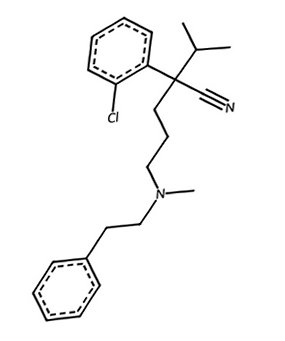 CC(C)C(C#N)(CCCN(C)CCc1ccccc1)c1ccccc1Cl